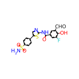 NS(=O)(=O)c1ccc(-c2cnc(NC(=O)c3cc(F)c(O)c(C=O)c3)s2)cc1